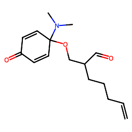 C=CCCCC(C=O)COC1(N(C)C)C=CC(=O)C=C1